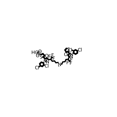 CN(CCCCC(c1nn(-c2ccc(Cl)cc2Cl)c2c1oc1ccsc12)C(F)(F)F)CCCCC(c1nn(-c2ccc(Cl)cc2Cl)c2c1oc1cc(S(=O)(=O)O)sc12)C(F)(F)F